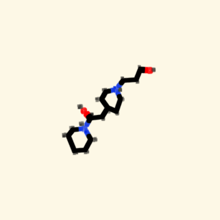 O=CCCN1CCC(CC(=O)N2CCCCC2)CC1